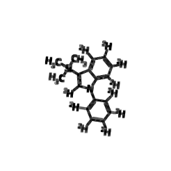 [2H]c1c([2H])c([2H])c(-n2c([2H])c([Si](C)(C)C)c3c([2H])c([2H])c([2H])c([2H])c32)c([2H])c1[2H]